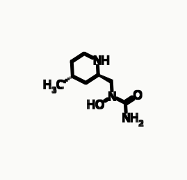 C[C@@H]1CCN[C@@H](CN(O)C(N)=O)C1